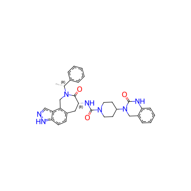 C[C@H](c1ccccc1)N1Cc2c(ccc3[nH]ncc23)C[C@@H](NC(=O)N2CCC(N3Cc4ccccc4NC3=O)CC2)C1=O